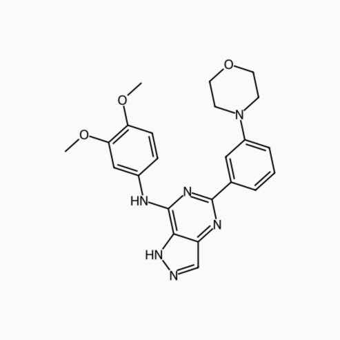 COc1ccc(Nc2nc(-c3cccc(N4CCOCC4)c3)nc3cn[nH]c23)cc1OC